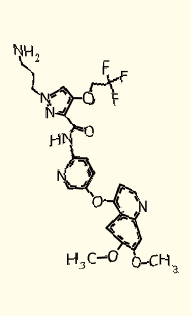 COc1cc2nccc(Oc3ccc(NC(=O)c4nn(CCCN)cc4OCC(F)(F)F)nc3)c2cc1OC